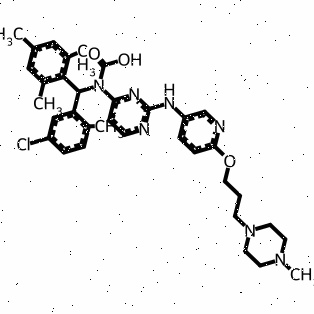 Cc1cc(C)c(C(c2cc(Cl)ccc2C)N(C(=O)O)c2ccnc(Nc3ccc(OCCCN4CCN(C)CC4)nc3)n2)c(C)c1